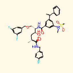 CC(c1ccccc1)c1cc(C(=O)N[C@@H](COCc2cc(F)cc(F)c2)[C@@H](O)C[C@@H](C)C(=O)NCc2ccc(F)cc2)cc(N(C)S(C)(=O)=O)c1